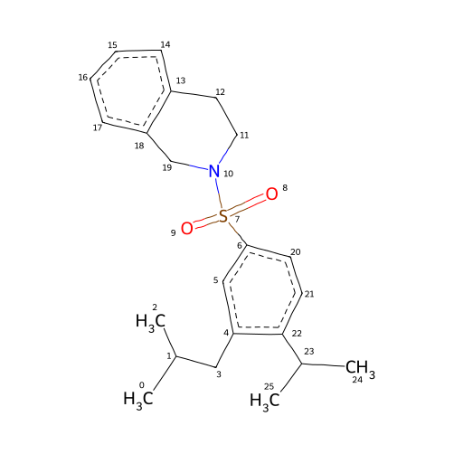 CC(C)Cc1cc(S(=O)(=O)N2CCc3ccccc3C2)ccc1C(C)C